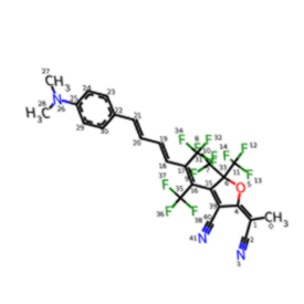 C/C(C#N)=C1\OC(C(F)(F)F)(C(F)(F)F)C(C(=C(/C=C/C=C/c2ccc(N(C)C)cc2)C(F)(F)F)/C(F)(F)F)=C1C#N